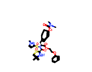 CN(C)C(=O)Oc1ccc(C[C@@H](C(=O)OCCOc2ccccc2)N(C(=O)[C@H]2NC(C)(C)CS2)S(=O)(=O)c2ccn(C)n2)cc1